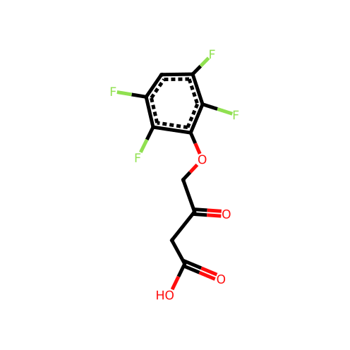 O=C(O)CC(=O)COc1c(F)c(F)cc(F)c1F